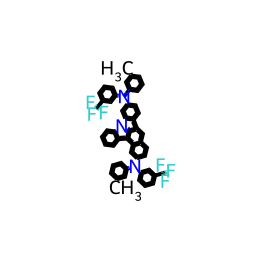 Cc1cccc(N(c2cccc(C(F)(F)F)c2)c2ccc3cc4c5ccc(N(c6cccc(C)c6)c6cccc(C(F)(F)F)c6)cc5n5c6ccccc6c(c3c2)c45)c1